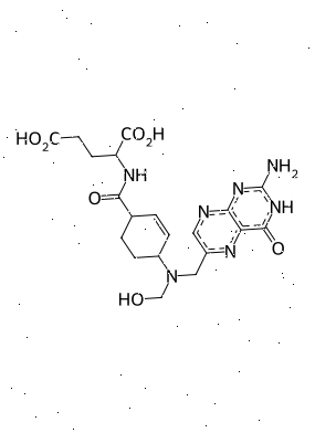 Nc1nc2ncc(CN(CO)C3C=CC(C(=O)NC(CCC(=O)O)C(=O)O)CC3)nc2c(=O)[nH]1